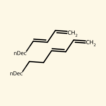 C=CC=CCCCCCCCCCC.C=CC=CCCCCCCCCCCCC